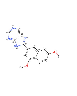 COc1ccc2c(OC)cc(-c3nc4cncnc4[nH]3)cc2c1